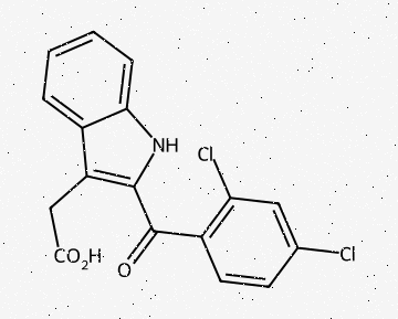 O=C(O)Cc1c(C(=O)c2ccc(Cl)cc2Cl)[nH]c2ccccc12